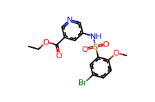 CCOC(=O)c1cncc(NS(=O)(=O)c2cc(Br)ccc2OC)c1